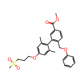 COC(=O)c1ccc(COc2ccccc2)c(-c2c(C)cc(OCCCS(C)(=O)=O)cc2C)c1